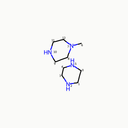 C1CNCCN1.CN1CCNCC1